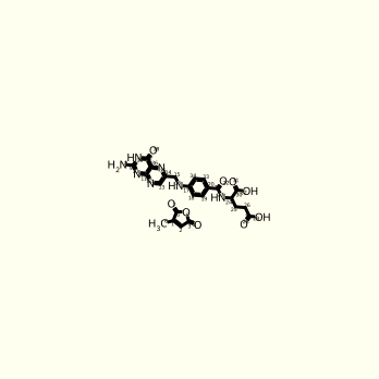 CC1=CC(=O)OC1=O.Nc1nc2ncc(CNc3ccc(C(=O)NC(CCC(=O)O)C(=O)O)cc3)nc2c(=O)[nH]1